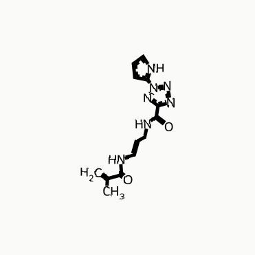 C=C(C)C(=O)N/C=C/CNC(=O)c1nnn(-c2ccc[nH]2)n1